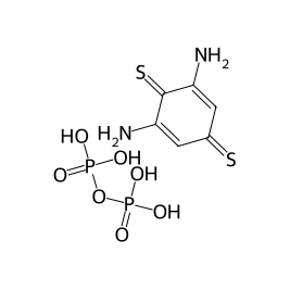 NC1=CC(=S)C=C(N)C1=S.O=P(O)(O)OP(=O)(O)O